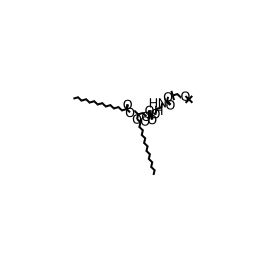 CCCCCCCCCCCCCC(=O)OCC(COP(=O)(O)OCCNC(=O)OC(C)(C)CCOC(C)(C)C)OC(=O)CCCCCCCCCCCCC